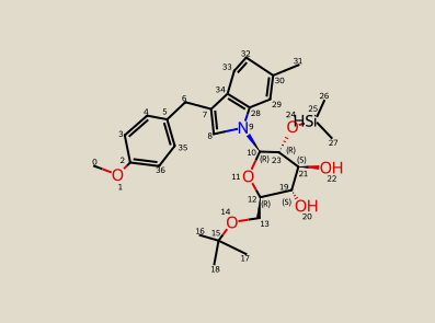 COc1ccc(Cc2cn([C@@H]3O[C@H](COC(C)(C)C)[C@@H](O)[C@H](O)[C@H]3O[SiH](C)C)c3cc(C)ccc23)cc1